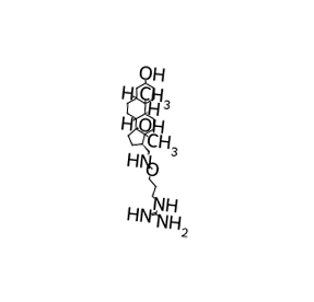 C[C@]12CC[C@H](O)C[C@H]1CC[C@@H]1[C@@H]2CC[C@]2(C)[C@@H](CNOCCCNC(=N)N)CC[C@]12O